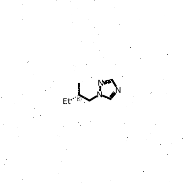 CC[C@H](C)Cn1cncn1